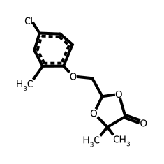 Cc1cc(Cl)ccc1OCC1OC(=O)C(C)(C)O1